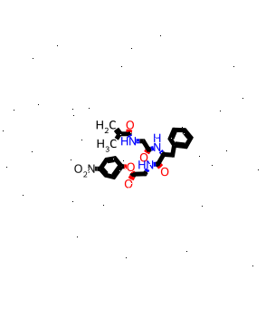 C=C(C)C(=O)NCC(=O)NC(Cc1ccccc1)C(=O)NCC(=O)Oc1ccc([N+](=O)[O-])cc1